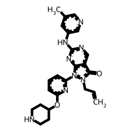 C=CCn1c(=O)c2cnc(Nc3cncc(C)c3)nc2n1-c1cccc(OC2CCNCC2)n1